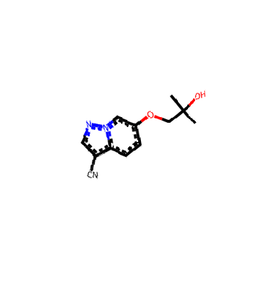 CC(C)(O)COc1c[c]c2c(C#N)cnn2c1